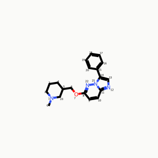 CN1CCCC(COc2ccc3ncc(-c4cc[c]cc4)n3n2)C1